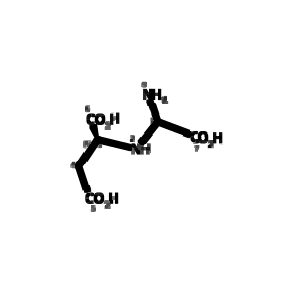 NC(N[C@@H](CC(=O)O)C(=O)O)C(=O)O